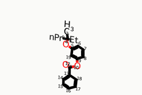 CCCC(C)(CC)Oc1cccc(OC(=O)c2ccccc2)c1